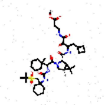 CCC(C)(C)S(=O)(=O)CC1(NC(=O)N[C@H](C(=O)N2C[C@H]3C([C@H]2C(=O)NC(CC2CCC2)C(=O)C(=O)NCCC(=O)OC(C)(C)C)C3(C)C)C2(C)CCCCC2)CCCCC1